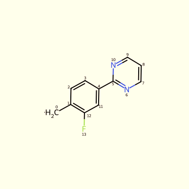 [CH2]c1ccc(-c2ncccn2)cc1F